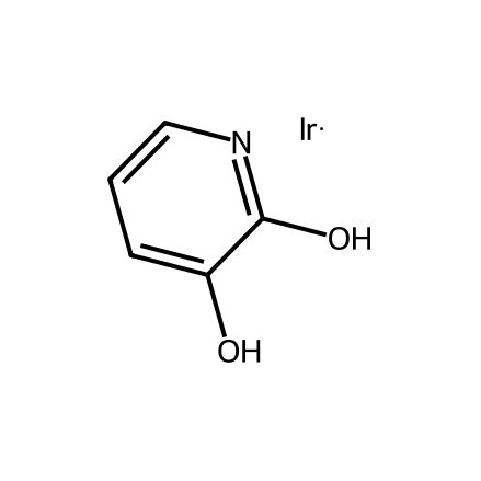 Oc1cccnc1O.[Ir]